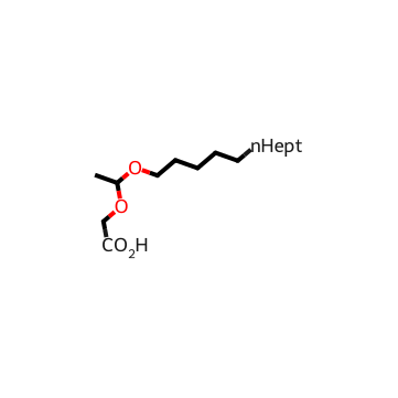 CCCCCCCCCCCCOC(C)OCC(=O)O